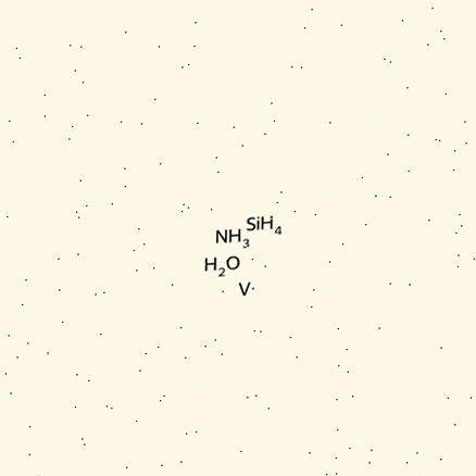 N.O.[SiH4].[V]